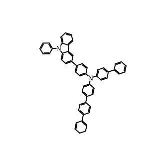 C1=CC(c2ccc(-c3ccc(N(c4ccc(-c5ccccc5)cc4)c4ccc(-c5ccc6c(c5)c5ccccc5n6-c5ccccc5)cc4)cc3)cc2)=CCC1